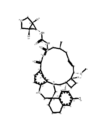 CO[C@H]1/C=C/C[C@H](C)CS(=O)(NC(=O)N[C@@H]2[C@@H]3COC[C@@H]32)=NC(=O)c2ccc3c(c2)N(C[C@@H]2CC[C@H]21)C[C@@]1(CCCc2cc(Cl)ccc21)CO3